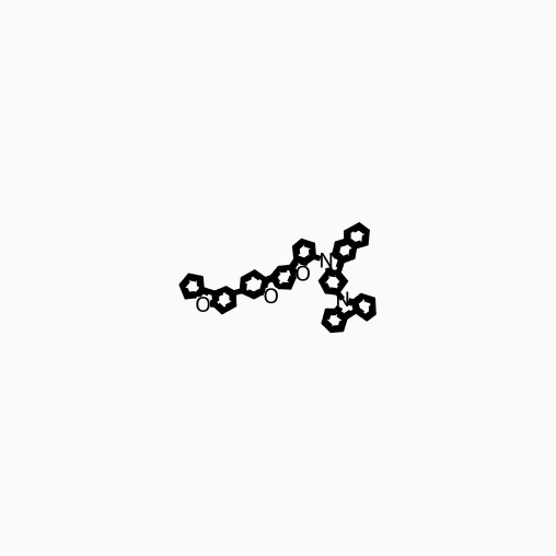 c1ccc2cc3c(cc2c1)c1cc(-n2c4ccccc4c4ccccc42)ccc1n3-c1cccc2c1oc1cc3oc4cc(-c5ccc6oc7ccccc7c6c5)ccc4c3cc12